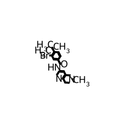 CN1CCc2ncc(NC(=O)c3ccc(C(C)(C)C)c(Br)c3)cc2C1